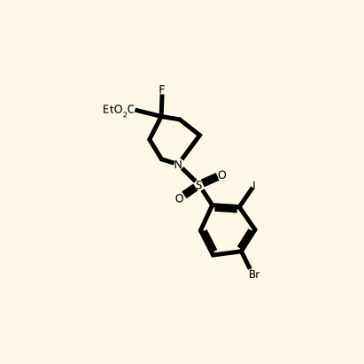 CCOC(=O)C1(F)CCN(S(=O)(=O)c2ccc(Br)cc2I)CC1